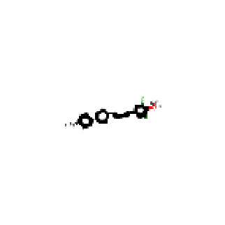 CCCc1ccc([C@H]2CC[C@H](C=CC#Cc3cc(F)c(OC(F)(F)F)c(F)c3)CC2)cc1